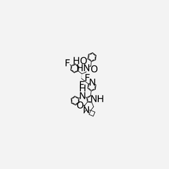 CN1C(=O)c2c([nH]c(-c3ccnc(C(F)(F)C[C@@H](CNC(=O)c4ccccc4O)c4ccc(F)cc4)c3)c2Nc2ccccc2)CC12CCC2